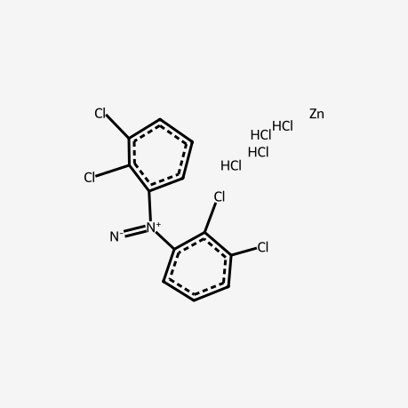 Cl.Cl.Cl.Cl.[N-]=[N+](c1cccc(Cl)c1Cl)c1cccc(Cl)c1Cl.[Zn]